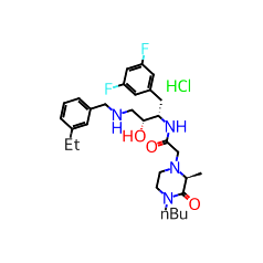 CCCCN1CCN(CC(=O)N[C@@H](Cc2cc(F)cc(F)c2)[C@H](O)CNCc2cccc(CC)c2)[C@@H](C)C1=O.Cl